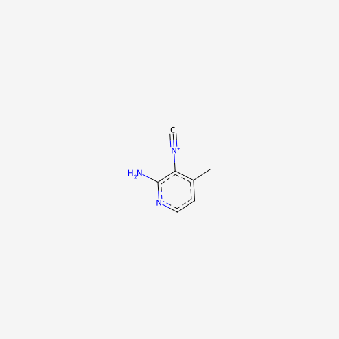 [C-]#[N+]c1c(C)ccnc1N